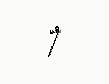 CCCCCCCCCCCCCCCCCc1nc2ccccc2n1CCN(C)C